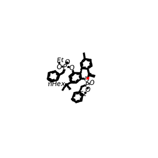 C=C(C)c1ccc(C)cc1-c1c(OP(=O)(Cc2ccccc2)OCC)cc(C(C)(C)CCCCCC)cc1OP(=O)(Cc1ccccc1)OCC